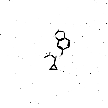 CN[C@H](Cc1ccc2c(c1)OCO2)C1CC1